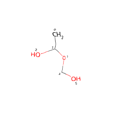 CC(O)OCO